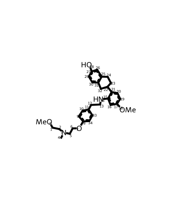 COCCN(C)CCOc1ccc(CCNc2cc(OC)ccc2C2CCc3cc(O)ccc3C2)cc1